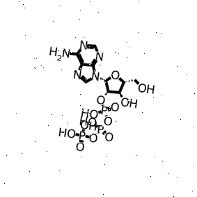 Nc1ncnc2c1ncn2[C@@H]1O[C@H](CO)[C@@H](O)[C@@H]1OP(=O)(O)OP(=O)(O)OP(=O)(O)O